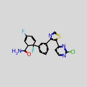 NC(=O)C1C=C(F)C=CC1(F)c1cccc(-c2ncsc2-c2ccnc(Cl)n2)c1